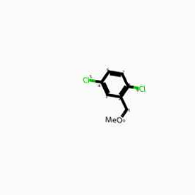 [CH2]OCc1cc(Cl)ccc1Cl